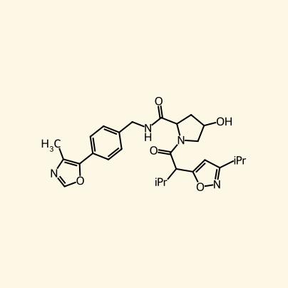 Cc1ncoc1-c1ccc(CNC(=O)C2CC(O)CN2C(=O)C(c2cc(C(C)C)no2)C(C)C)cc1